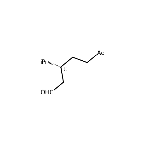 CC(=O)CC[C@H](CC=O)C(C)C